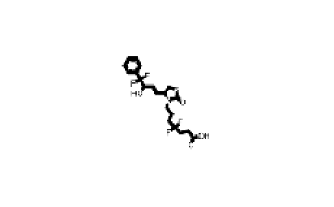 O=C(O)CCC(F)(F)CCCN1C(=O)SCC1C=CC(O)C(F)(F)c1ccccc1